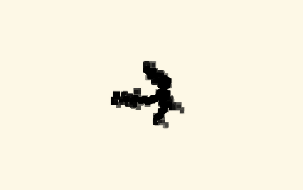 CCCCCc1cc2c(C#CCCCNC(=O)OC(C)(C)C)cc(-c3cccc(S(=O)(=O)N4CC(CO)C4)c3)cc2nc1N